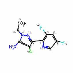 Nc1c(Cl)c(-c2ncc(F)cc2F)nn1CC(=O)O